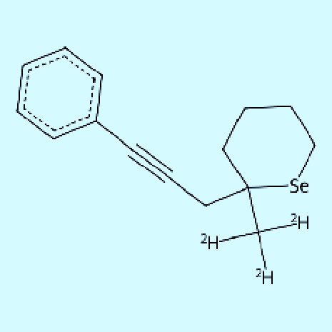 [2H]C([2H])([2H])C1(CC#Cc2ccccc2)CCCC[Se]1